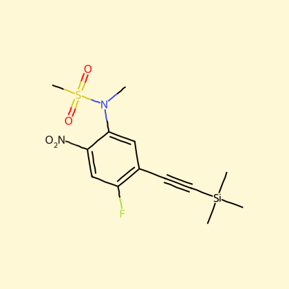 CN(c1cc(C#C[Si](C)(C)C)c(F)cc1[N+](=O)[O-])S(C)(=O)=O